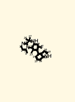 CC1=CCN=C2N1c1c(cc(F)c(-c3cccc4[nH]ccc34)c1C)NC2(C)C